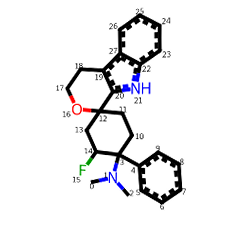 CN(C)C1(c2ccccc2)CCC2(CC1F)OCCc1c2[nH]c2ccccc12